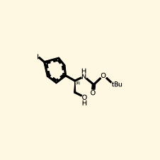 CC(C)(C)OC(=O)N[C@@H](CO)c1ccc(I)cc1